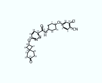 N#Cc1ccc(OC2CCC(NC(=O)c3ccc(OC4CC5(CCC(=O)CC5)C4)nn3)CC2)cc1Cl